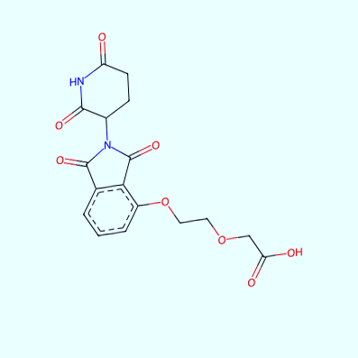 O=C(O)COCCOc1cccc2c1C(=O)N(C1CCC(=O)NC1=O)C2=O